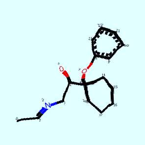 CC=NCC(=O)C1(Oc2ccccc2)CCCCC1